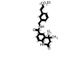 CCOC(=O)/C=C/c1cccc(CNC(=O)c2ccc3c(c2)C(C)(C)CC(=O)N3)c1